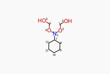 OCON(OCO)C1CCCCC1